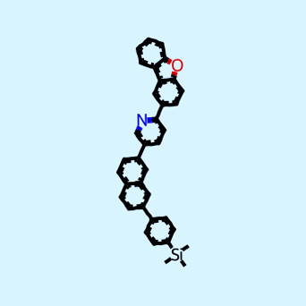 C[Si](C)(C)c1ccc(-c2ccc3ccc(-c4ccc(-c5ccc6oc7ccccc7c6c5)nc4)cc3c2)cc1